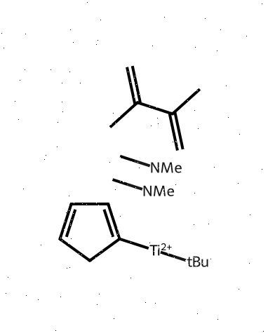 C=C(C)C(=C)C.C[C](C)(C)[Ti+2][C]1=CC=CC1.C[N-]C.C[N-]C